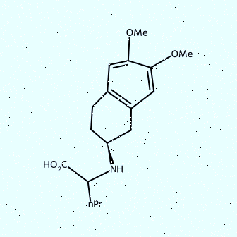 CCCC(N[C@H]1CCc2cc(OC)c(OC)cc2C1)C(=O)O